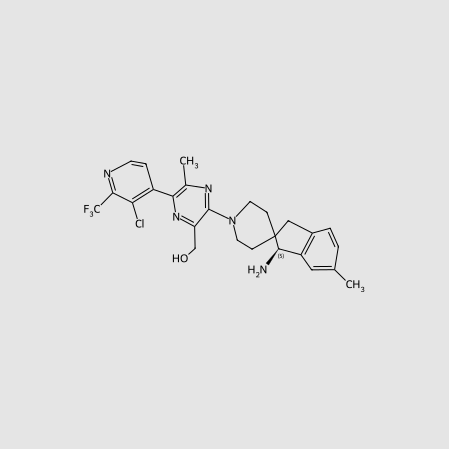 Cc1ccc2c(c1)[C@@H](N)C1(CCN(c3nc(C)c(-c4ccnc(C(F)(F)F)c4Cl)nc3CO)CC1)C2